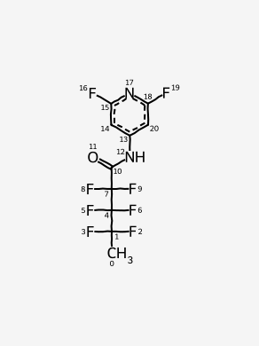 CC(F)(F)C(F)(F)C(F)(F)C(=O)Nc1cc(F)nc(F)c1